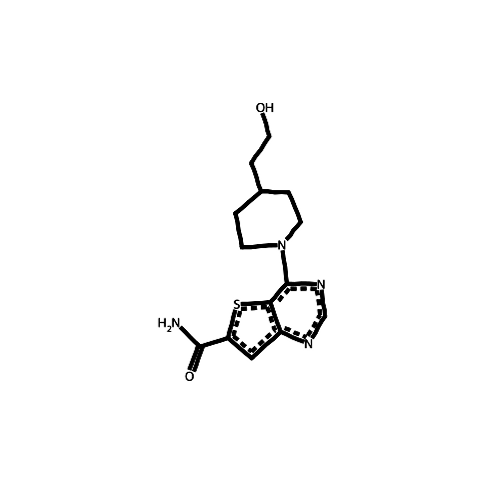 NC(=O)c1cc2ncnc(N3CCC(CCO)CC3)c2s1